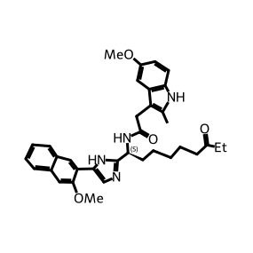 CCC(=O)CCCCC[C@H](NC(=O)Cc1c(C)[nH]c2ccc(OC)cc12)c1ncc(-c2cc3ccccc3cc2OC)[nH]1